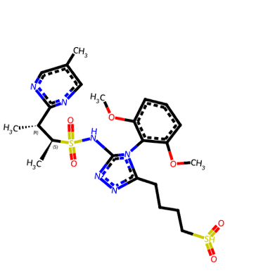 COc1cccc(OC)c1-n1c(CCCC[SH](=O)=O)nnc1NS(=O)(=O)[C@@H](C)[C@H](C)c1ncc(C)cn1